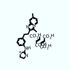 Cc1ccn2c(C)c(CCc3cccc(NC4=NCCS4)c3)nc2c1.O=C(O)C=CC(=O)O.O=C(O)C=CC(=O)O